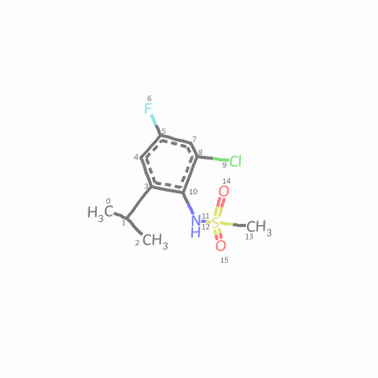 CC(C)c1cc(F)cc(Cl)c1NS(C)(=O)=O